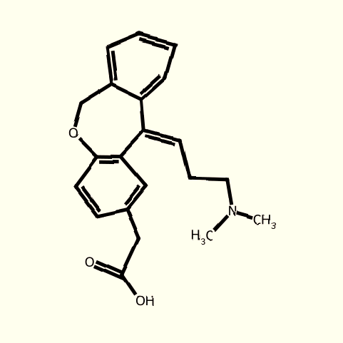 CN(C)CCC=C1c2ccccc2COc2ccc(CC(=O)O)cc21